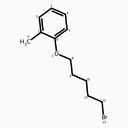 Cc1ccccc1OCCCCCBr